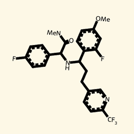 CNC(=O)C(NC(CCc1ccc(C(F)(F)F)nc1)c1ccc(OC)cc1F)c1ccc(F)cc1